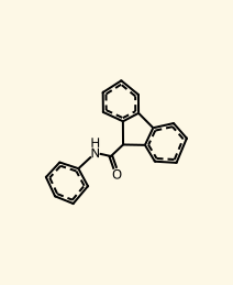 O=C(Nc1ccccc1)C1c2ccccc2-c2ccccc21